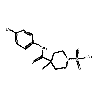 CCCCS(=O)(=O)N1CCC(C)(C(=O)Nc2ccc(CC)cc2)CC1